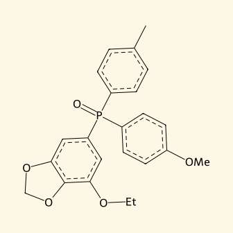 CCOc1cc(P(=O)(c2ccc(C)cc2)c2ccc(OC)cc2)cc2c1OCO2